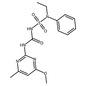 CCN(c1ccccc1)S(=O)(=O)NC(=O)Nc1nc(C)cc(OC)n1